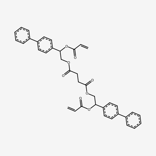 C=CC(=O)OC(COC(=O)CCC(=O)OCC(OC(=O)C=C)c1ccc(-c2ccccc2)cc1)c1ccc(-c2ccccc2)cc1